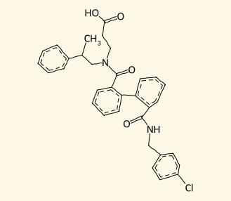 CC(CN(CCC(=O)O)C(=O)c1ccccc1-c1ccccc1C(=O)NCc1ccc(Cl)cc1)c1ccccc1